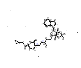 C=c1nc(NCC2CC2)cc/c1=C/C=C(\C)CC[C@H]1O[C@@H](n2ccc3cncnc32)[C@@H]2OC(C)(C)O[C@@H]21